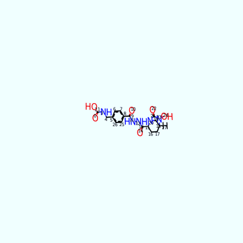 O=C(O)NCc1ccc(C(=O)NNC(=O)[C@@H]2CC[C@@H]3CN2C(=O)N3O)cc1